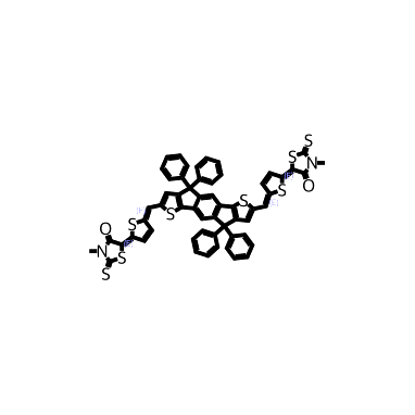 CN1C(=O)/C(=c2/cc/c(=C\c3cc4c(s3)-c3cc5c(cc3C4(c3ccccc3)c3ccccc3)-c3sc(/C=c4\cc/c(=C6\SC(=S)N(C)C6=O)s4)cc3C5(c3ccccc3)c3ccccc3)s2)SC1=S